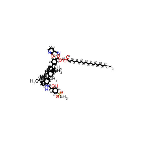 C=C(C)[C@@H]1CC[C@]2(NCC[C@]3(O)CC[C@@H](S(C)(=O)=O)CC3)CC[C@]3(C)[C@H](CC[C@@H]4[C@@]5(C)CC=C(C6=CC[C@@](COc7ncccc7C#N)(C(=O)OCOC(=O)CCCCCCCCCCCCCCCCC)CC6)C(C)(C)[C@@H]5CC[C@]43C)[C@@H]12